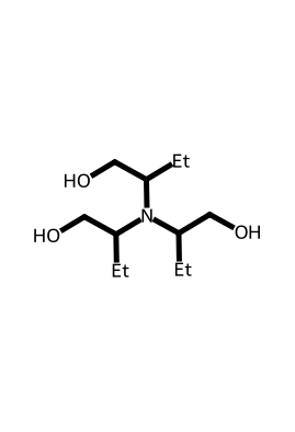 CCC(CO)N(C(CC)CO)C(CC)CO